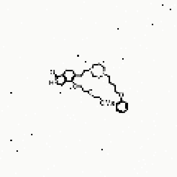 COCCOCCOc1c(CCN2CCCN(CCCCOc3ccccc3)CC2)ccc2c1CNC2=O